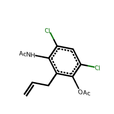 C=CCc1c(NC(C)=O)c(Cl)cc(Cl)c1OC(C)=O